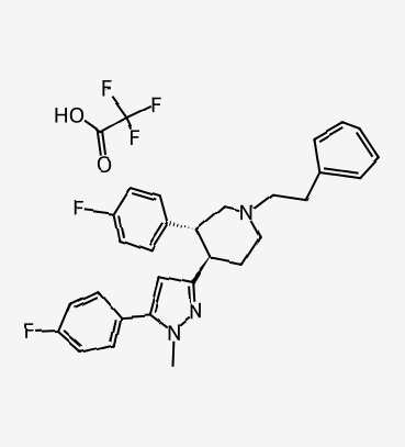 Cn1nc([C@@H]2CCN(CCc3ccccc3)C[C@H]2c2ccc(F)cc2)cc1-c1ccc(F)cc1.O=C(O)C(F)(F)F